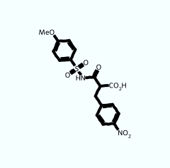 COc1ccc(S(=O)(=O)NC(=O)C(Cc2ccc([N+](=O)[O-])cc2)C(=O)O)cc1